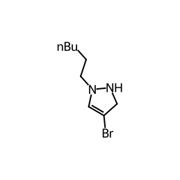 CCCCCCN1C=C(Br)CN1